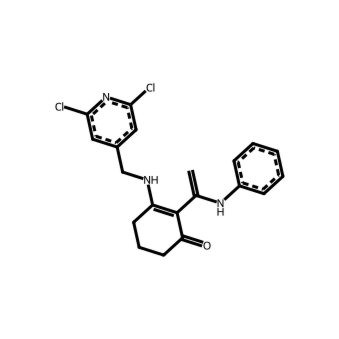 C=C(Nc1ccccc1)C1=C(NCc2cc(Cl)nc(Cl)c2)CCCC1=O